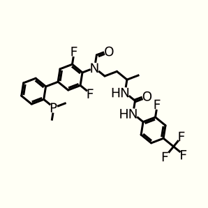 CC(CCN(C=O)c1c(F)cc(-c2ccccc2P(C)C)cc1F)NC(=O)Nc1ccc(C(F)(F)F)cc1F